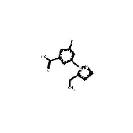 CCc1ccnn1-c1cc(F)cc(C(=O)O)c1